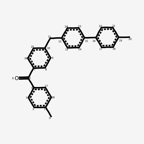 Cc1ccc(C(=O)c2ccc(Cc3ccc(-c4ccc(C)cc4)cc3)cc2)cc1